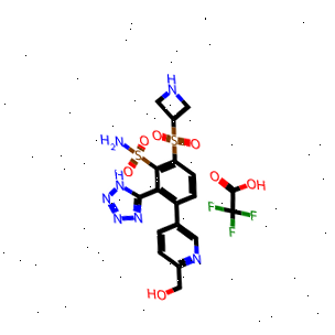 NS(=O)(=O)c1c(S(=O)(=O)C2CNC2)ccc(-c2ccc(CO)nc2)c1-c1nnn[nH]1.O=C(O)C(F)(F)F